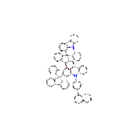 c1ccc(N(c2ccc(-c3cccc4ccccc34)cc2)c2ccc3c(c2)C2(c4ccccc4-c4ccccc42)c2ccccc2-3)c(-c2ccc3c(c2)C2(c4ccccc4-3)c3ccccc3-n3c4ccccc4c4cccc2c43)c1